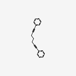 C(#Cc1ccccc1)CCCC#Cc1ccccc1